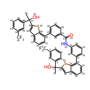 CC(O)(c1cccc(C(F)(F)F)c1)c1cc2cccc(-c3cccc(NC(=O)c4cccc(-c5cccc6cc(C(C)(O)c7cccc(C(F)(F)F)c7)sc56)c4)c3)c2s1